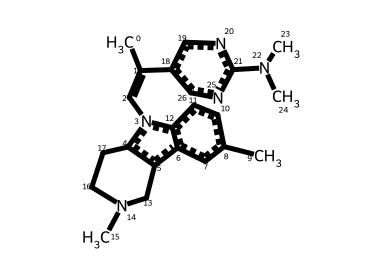 C/C(=C/n1c2c(c3cc(C)ccc31)CN(C)CC2)c1cnc(N(C)C)nc1